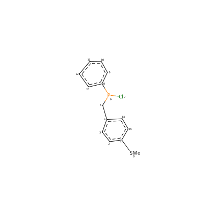 CSc1ccc(CP(Cl)c2ccccc2)cc1